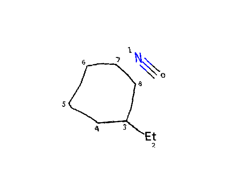 C#N.CCC1CCCCC1